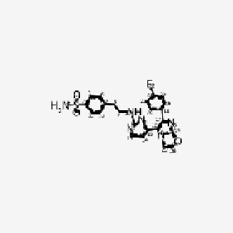 NS(=O)(=O)c1ccc(CCNc2nccc(-c3c(-c4ccc(F)cc4)nc4occn34)n2)cc1